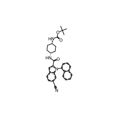 CC(C)(C)OC(=O)N[C@H]1CC[C@H](NC(=O)c2cc3ccc(C#N)cc3n2-c2cccc3ccccc23)CC1